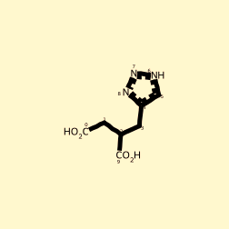 O=C(O)CC(Cc1c[nH]nn1)C(=O)O